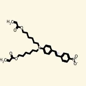 C=CC(=O)OCCCCCCN(CCCCCCOC(=O)C=C)c1ccc(/C=C/c2ccc([N+](=O)[O-])cc2)cc1